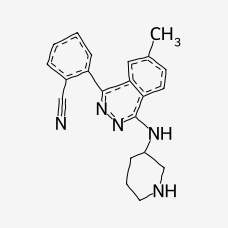 Cc1ccc2c(NC3CCCNC3)nnc(-c3ccccc3C#N)c2c1